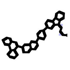 I/C=C\C=C1\c2ccccc2-c2ccc(-c3ccc(-c4ccc5ccc(-c6cc7ccccc7c7ccccc67)cc5c4)cc3)cc21